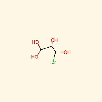 OC(O)C(O)C(O)Br